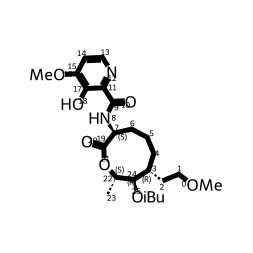 COCC[C@H]1CCC[C@H](NC(=O)c2nccc(OC)c2O)C(=O)O[C@@H](C)[C@@H]1OCC(C)C